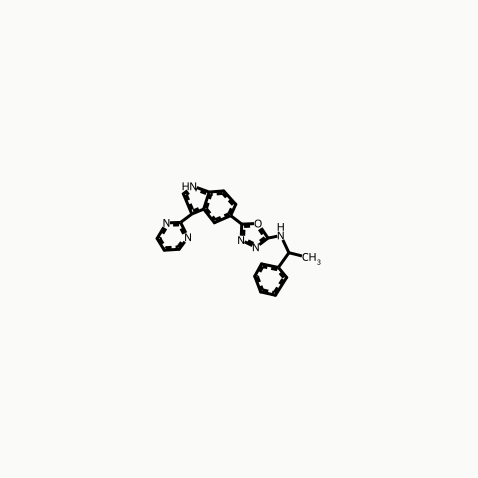 CC(Nc1nnc(-c2ccc3[nH]cc(-c4ncccn4)c3c2)o1)c1ccccc1